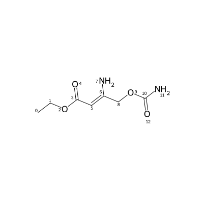 CCOC(=O)C=C(N)COC(N)=O